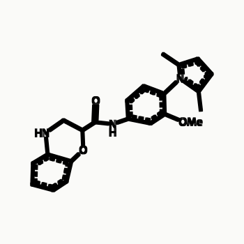 COc1cc(NC(=O)C2CNc3ccccc3O2)ccc1-n1c(C)ccc1C